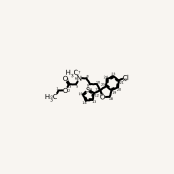 CCOC(=O)CN(C)CCCC1(c2cccs2)OCc2cc(Cl)ccc21